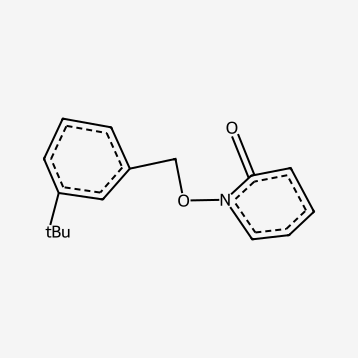 CC(C)(C)c1cccc(COn2ccccc2=O)c1